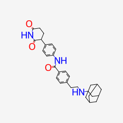 O=C1CCC(c2ccc(NC(=O)c3ccc(CCNC45CC6CC(CC(C6)C4)C5)cc3)cc2)C(=O)N1